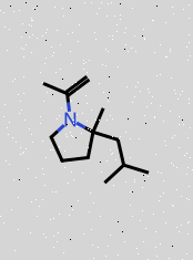 C=C(C)N1CCCC1(C)CC(C)C